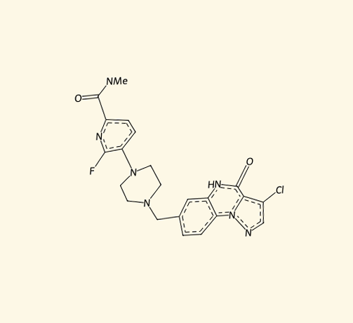 CNC(=O)c1ccc(N2CCN(Cc3ccc4c(c3)[nH]c(=O)c3c(Cl)cnn34)CC2)c(F)n1